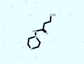 O=CCCC(=O)NN1CCOCC1